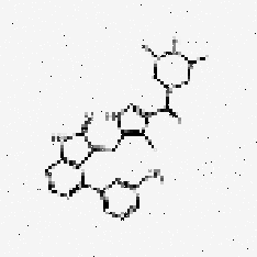 Cc1c(C(=O)N2CC(C)NC(C)C2)c[nH]c1C=C1C(=O)Nc2cccc(-c3cccc(C(F)(F)F)c3)c21